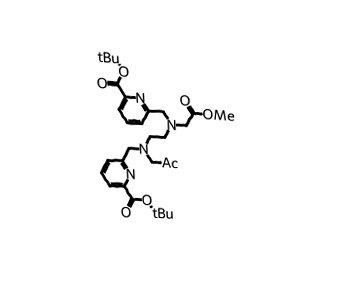 COC(=O)CN(CCN(CC(C)=O)Cc1cccc(C(=O)OC(C)(C)C)n1)Cc1cccc(C(=O)OC(C)(C)C)n1